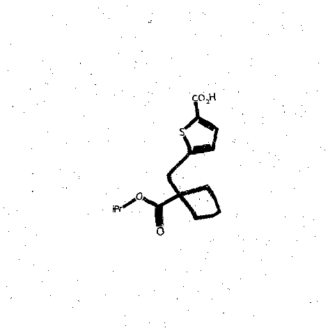 CC(C)OC(=O)C1(Cc2ccc(C(=O)O)s2)CCC1